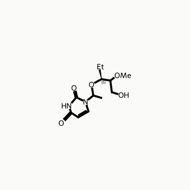 CC[C@H](OC(C)n1ccc(=O)[nH]c1=O)C(CO)OC